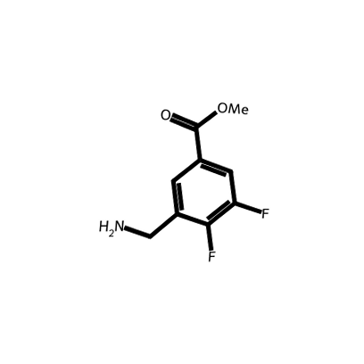 COC(=O)c1cc(F)c(F)c(CN)c1